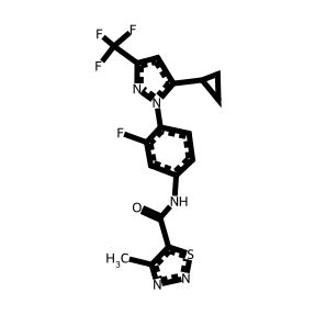 Cc1nnsc1C(=O)Nc1ccc(-n2nc(C(F)(F)F)cc2C2CC2)c(F)c1